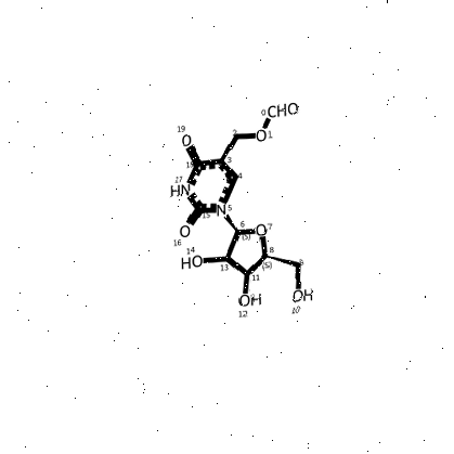 O=COCc1cn([C@H]2O[C@@H](CO)C(O)C2O)c(=O)[nH]c1=O